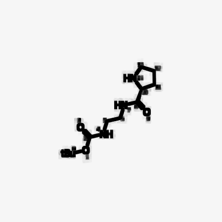 CC(C)(C)OC(=O)NCCNC(=O)[C@@H]1CCCN1